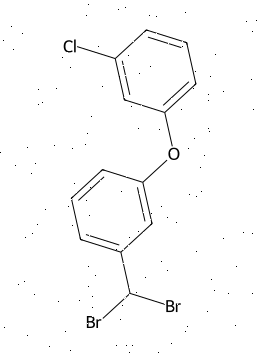 Clc1cccc(Oc2cccc(C(Br)Br)c2)c1